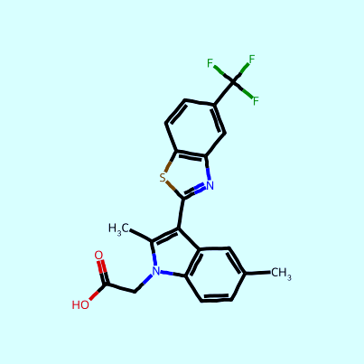 Cc1ccc2c(c1)c(-c1nc3cc(C(F)(F)F)ccc3s1)c(C)n2CC(=O)O